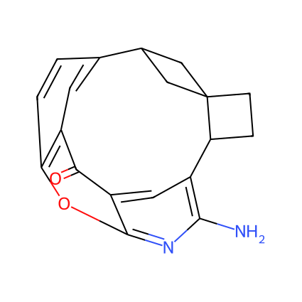 Nc1nc2oc3ccc4cc3c(=O)c2cc1C1CCC12CC4C2